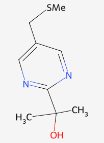 CSCc1cnc(C(C)(C)O)nc1